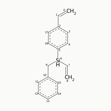 C=Cc1ccc([SiH](C=C)Cc2ccccc2)cc1